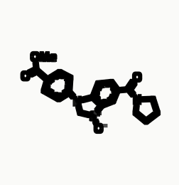 COC(=O)c1ccc(N2C[S+]([O-])c3cc(C(=O)N4CCCC4)ccc32)cc1